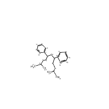 CC(C)CCC(OC(CCC(C)C)c1ccccn1)c1ccccn1